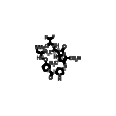 CNCC(=O)NOC1CCN(C(=O)[C@@H]2C[C@H](SC3=C(C(=O)O)N4C(=O)[C@H]([C@@H](C)NC(=O)C(F)F)[C@H]4[C@H]3C)CN2)C1